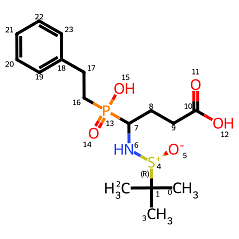 CC(C)(C)[S@+]([O-])NC(CCC(=O)O)P(=O)(O)CCc1ccccc1